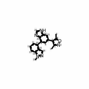 Cc1noc(C)c1-c1cc(-c2cccc3c2cnn3C)c2nc[nH]c2c1